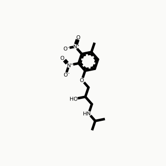 Cc1ccc(OCC(O)CNC(C)C)c([N+](=O)[O-])c1[N+](=O)[O-]